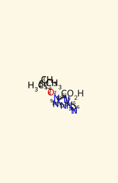 C[Si](C)(C)CCOCn1cnc2nc(-n3ccnc3)nc(C(=O)O)c21